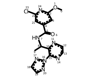 COc1cc(C(=O)NC(C)c2nccnc2-n2nccn2)cc(Cl)n1